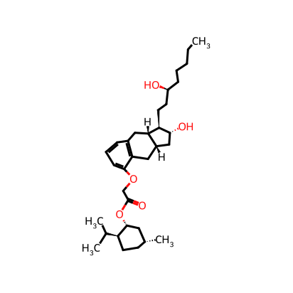 CCCCC[C@H](O)CC[C@@H]1[C@H]2Cc3cccc(OCC(=O)O[C@@H]4C[C@H](C)CC[C@H]4C(C)C)c3C[C@H]2C[C@H]1O